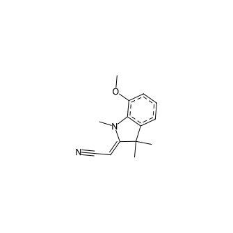 COc1cccc2c1N(C)/C(=C\C#N)C2(C)C